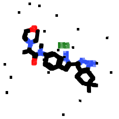 CC(C(=O)N(C)c1ccc2cc(-c3n[nH]c4c3CCC(C)(C)C4)[nH]c2c1)N1CCOCC1.Cl